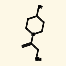 C=C(CC(C)(C)C)N1CCC(C(C)C)CC1